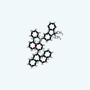 CC1(C)c2ccccc2-c2cc(N(c3ccc(-c4cc5ccccc5c5ccc6ccccc6c45)cc3)c3ccccc3-c3ccccc3)ccc21